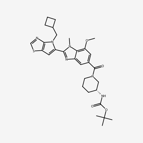 COc1cc(C(=O)N2CCC[C@@H](NC(=O)OC(C)(C)C)C2)cc2nc(-c3cc4scnc4n3CC3CCC3)n(C)c12